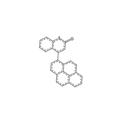 O=c1cc(-c2ccc3ccc4cccc5ccc2c3c45)c2ccccc2s1